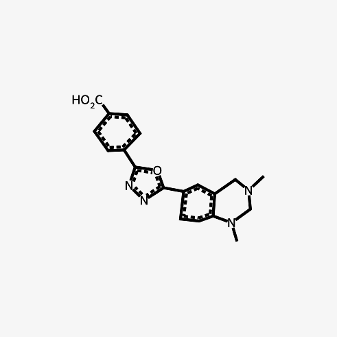 CN1Cc2cc(-c3nnc(-c4ccc(C(=O)O)cc4)o3)ccc2N(C)C1